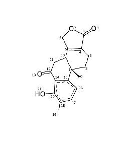 C[C@]12CCC3=C(COC3=O)C1CC(=O)c1c2ccc(I)c1O